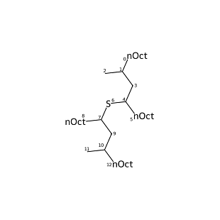 CCCCCCCCC(C)CC(CCCCCCCC)SC(CCCCCCCC)CC(C)CCCCCCCC